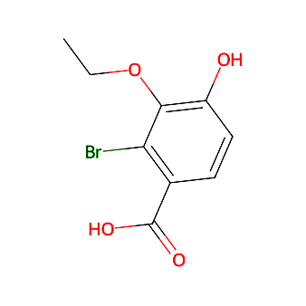 CCOc1c(O)ccc(C(=O)O)c1Br